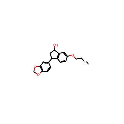 CCCOc1ccc2c(c1)C(O)CC2c1ccc2c(c1)OCO2